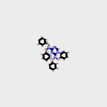 c1ccc(SN(Sc2ccccc2)c2ncnc(N(Sc3ccccc3)Sc3ccccc3)n2)cc1